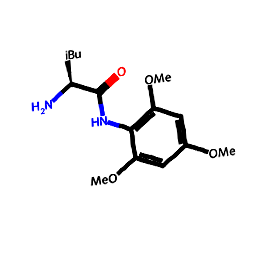 CCC(C)[C@H](N)C(=O)Nc1c(OC)cc(OC)cc1OC